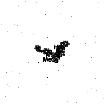 COC(=O)c1nc(N2CCCc3c2nnc(Nc2nc4ccccc4s2)c3C)sc1CCCOc1ccc(C#CCN2CCC2)cc1F